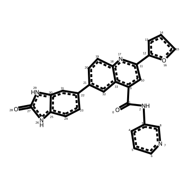 O=C(Nc1cccnc1)c1cc(-c2ccco2)nc2ccc(-c3ccc4[nH]c(=O)[nH]c4c3)cc12